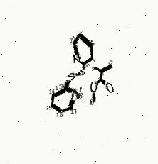 C=C(C)C(=O)OC.c1ccc(SSc2ccccn2)nc1